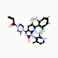 C=CC(=O)N1CCN(c2nc(=O)n(-c3c(C)ccnc3C(C)C)c3nc(-c4c(Cl)cccc4C=O)c(Cl)cc23)[C@@H](C)C1